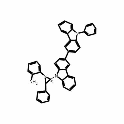 Nc1ccccc1N1C(c2ccccc2)[C@H]1n1c2ccccc2c2cc(-c3ccc4c(c3)c3ccccc3n4-c3ccccc3)ccc21